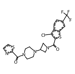 O=C(c1nccs1)N1CCN(C2CN(C(=O)c3sc4cc(C(F)(F)F)ccc4c3Cl)C2)CC1